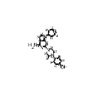 CC1CN(c2nc(N)c3ncn(-c4ccncc4)c3n2)CCN1c1ccc(O)cc1